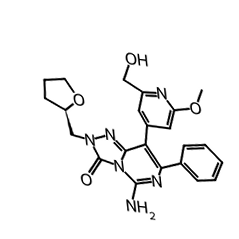 COc1cc(-c2c(-c3ccccc3)nc(N)n3c(=O)n(C[C@H]4CCCO4)nc23)cc(CO)n1